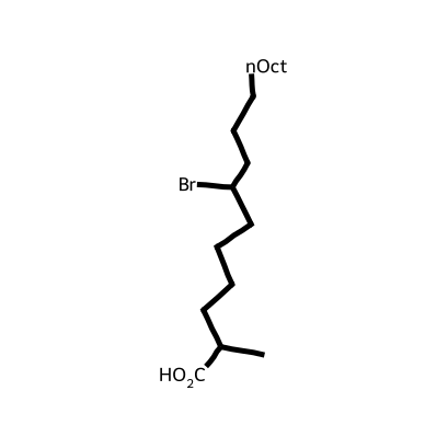 CCCCCCCCCCCC(Br)CCCCC(C)C(=O)O